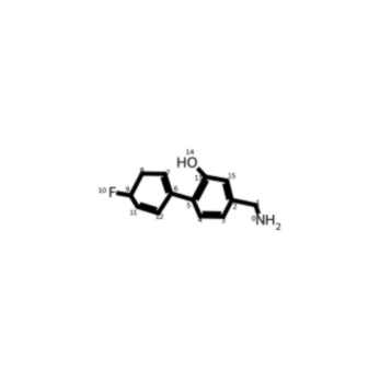 NCc1ccc(C2=CCC(F)C=C2)c(O)c1